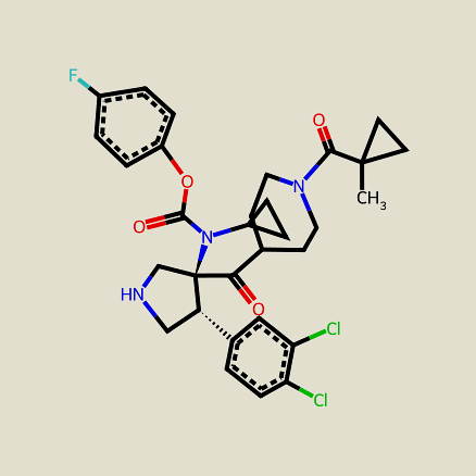 CC1(C(=O)N2CCC(C(=O)[C@@]3(N(C(=O)Oc4ccc(F)cc4)C4CC4)CNC[C@H]3c3ccc(Cl)c(Cl)c3)CC2)CC1